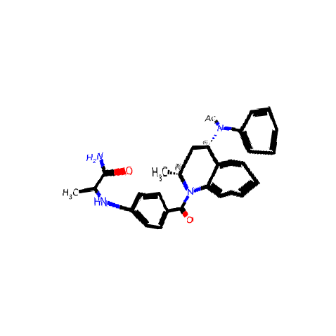 CC(=O)N(c1ccccc1)[C@H]1C[C@@H](C)N(C(=O)c2ccc(NC(C)C(N)=O)cc2)c2ccccc21